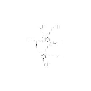 C#CCCCCOc1cc(C(=O)OCCC)cc(OCCCCC#CC(C#C)CCCOc2cc(C(=O)O)cc(OCCCCC#C)c2OCCCCC#C)c1OCCCCC#C